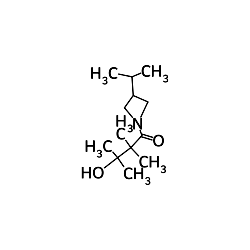 CC(C)C1CN(C(=O)C(C)(C)C(C)(C)O)C1